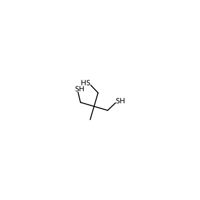 CC(CS)(CS)CS